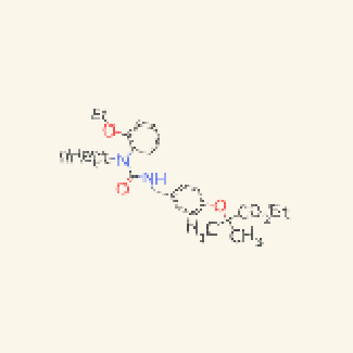 CCCCCCCN(C(=O)NCc1ccc(OC(C)(C)C(=O)OCC)cc1)c1ccccc1OCC